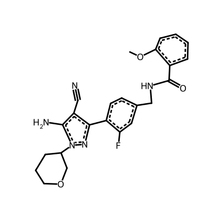 COc1ccccc1C(=O)NCc1ccc(-c2nn(C3CCCOC3)c(N)c2C#N)c(F)c1